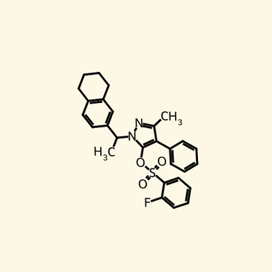 Cc1nn(C(C)c2ccc3c(c2)CCCC3)c(OS(=O)(=O)c2ccccc2F)c1-c1ccccc1